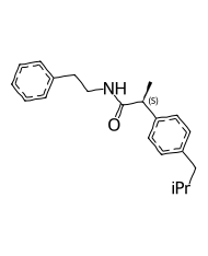 CC(C)Cc1ccc([C@H](C)C(=O)NCCc2ccccc2)cc1